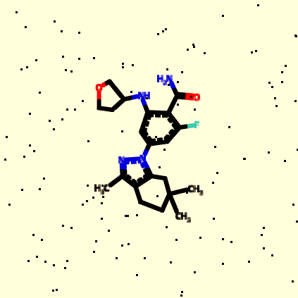 Cc1nn(-c2cc(F)c(C(N)=O)c(NC3CCOC3)c2)c2c1CCC(C)(C)C2